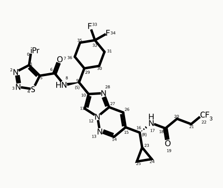 CC(C)c1nnsc1C(=O)N[C@H](c1cn2ncc([C@H](NC(=O)CCC(F)(F)F)C3CC3)cc2n1)C1CCC(F)(F)CC1